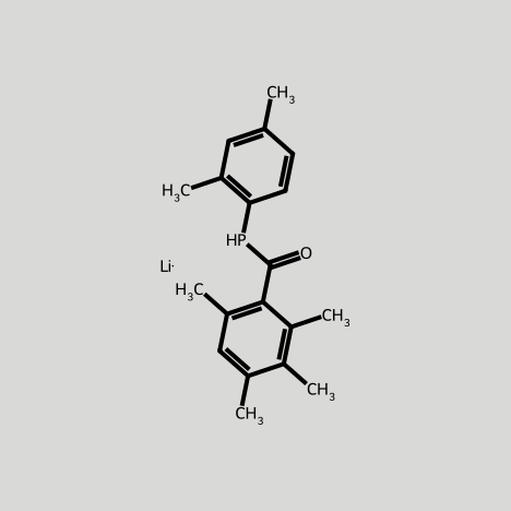 Cc1ccc(PC(=O)c2c(C)cc(C)c(C)c2C)c(C)c1.[Li]